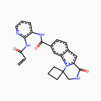 C=CC(=O)Nc1ncccc1NC(=O)c1ccc2cc3n(c2c1)C1(CCC1)CNC3=O